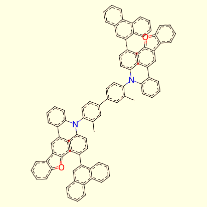 Cc1cc(-c2ccc(N(c3ccc(-c4cc5ccccc5c5ccccc45)cc3)c3ccccc3-c3ccc4oc5ccccc5c4c3)c(C)c2)ccc1N(c1ccc(-c2cc3ccccc3c3ccccc23)cc1)c1ccccc1-c1ccc2oc3ccccc3c2c1